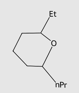 CCCC1CCCC(CC)O1